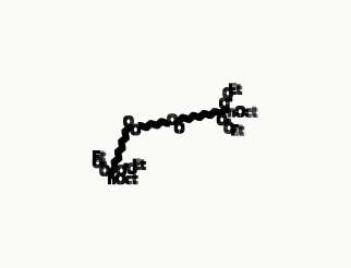 CCCCCCCCC(OCOCC)C(CCCCCCCC(=O)OCCCCCCOC(=O)CCCCCCCC(OCOCC)C(CCCCCCCC)OCOCC)OCOCC